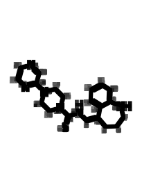 S=C(N/C=C1/CCCNc2ccccc21)N1CCN(c2cnccn2)CC1